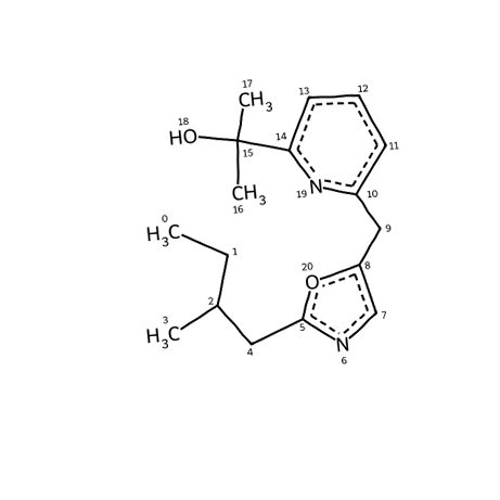 CCC(C)Cc1ncc(Cc2cccc(C(C)(C)O)n2)o1